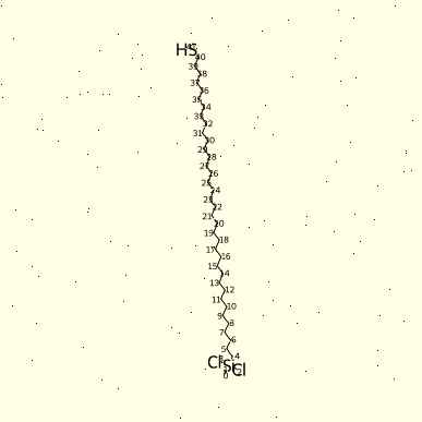 C[Si](Cl)(Cl)CCCCCCCCCCCCCCCCCCCCCCCCCCCCCCCCCCCCCS